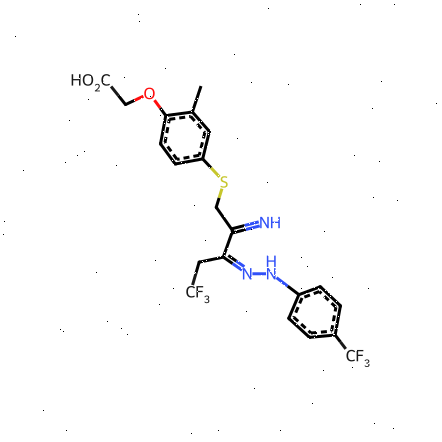 Cc1cc(SCC(=N)/C(CC(F)(F)F)=N\Nc2ccc(C(F)(F)F)cc2)ccc1OCC(=O)O